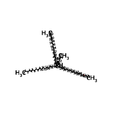 CCCCCCCCCCCCCCCCCCC[PH](CCCCCC)(CCCCCCCCCCCCCCCCCCC)CCCCCCCCCCCCCCCCCCC